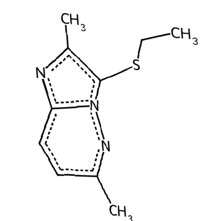 CCSc1c(C)nc2ccc(C)nn12